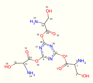 NC(CO)C(=O)Oc1nc(OC(=O)C(N)CO)nc(OC(=O)C(N)CO)n1